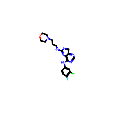 Fc1ccc(Nc2ncnc3cnc(NCCCN4CCOCC4)nc23)cc1Cl